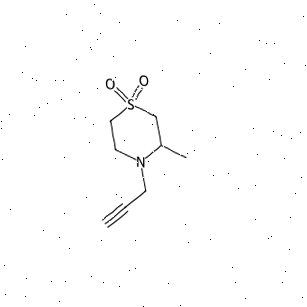 C#CCN1CCS(=O)(=O)CC1C